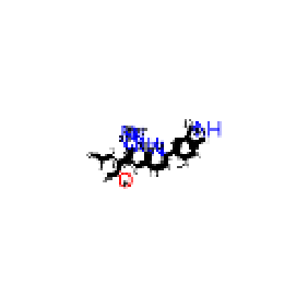 CCC[C@H](C(C)=O)[C@H](Cc1ccc(-c2ccc3c(c2)CNC3)nc1)c1nnn[nH]1